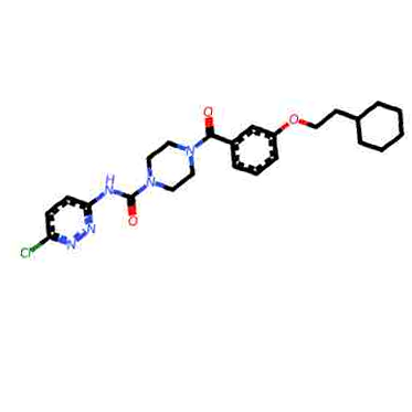 O=C(Nc1ccc(Cl)nn1)N1CCN(C(=O)c2cccc(OCCC3CCCCC3)c2)CC1